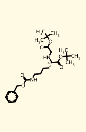 CC(C)(C)OC(=O)CN[C@@H](CCCCNC(=O)OCc1ccccc1)C(=O)OC(C)(C)C